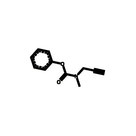 C#CCN(C)C(=O)Oc1ccccc1